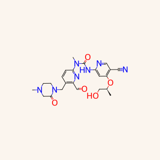 C[C@@H](CO)Oc1cc(NC(=O)N(C)c2ccc(CN3CCN(C)CC3=O)c(C=O)n2)ncc1C#N